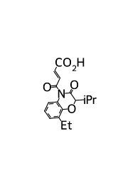 CCc1cccc2c1OC(C(C)C)C(=O)N2C(=O)/C=C/C(=O)O